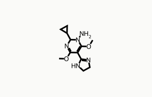 COC1=NC(C2CC2)N(N)C(OC)=C1C1=NCCN1